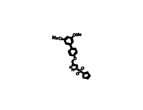 COc1cc(OC)cc(-c2ccc(OCc3cn(S(=O)(=O)c4cccs4)nn3)cc2)c1